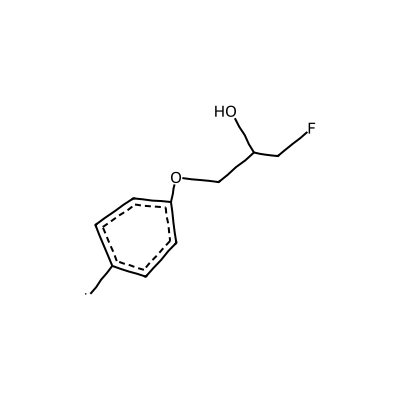 [CH2]c1ccc(OCC(O)CF)cc1